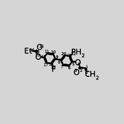 C=CC(=O)Oc1ccc(-c2ccc(OC(=O)CC)cc2F)cc1P